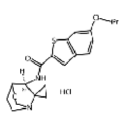 CC(C)Oc1ccc2cc(C(=O)N[C@@H]3C4CCN(CC4)C34CC4)sc2c1.Cl